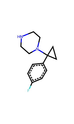 Fc1ccc(C2(N3CCNCC3)CC2)cc1